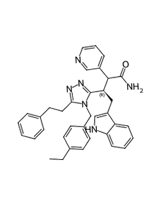 CCc1ccc(Cn2c(CCc3ccccc3)nnc2[C@H](Cc2c[nH]c3ccccc23)C(C(N)=O)c2cccnc2)cc1